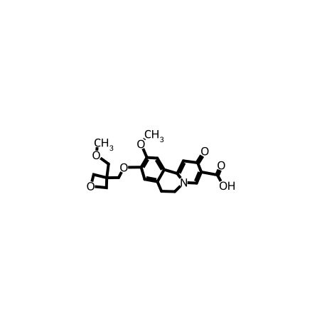 COCC1(COc2cc3c(cc2OC)-c2cc(=O)c(C(=O)O)cn2CC3)COC1